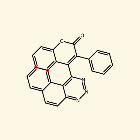 O=c1oc2ccccc2c(-c2nnnc3ccc4ccccc4c23)c1-c1ccccc1